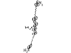 C=CC(=O)OCCCCCCCCCCC(=O)Oc1ccc(C(=O)Oc2ccc(OC(=O)c3ccc(OC(=O)CCCCCCCCCCOC(=O)C=C)cc3)c(C)c2)cc1